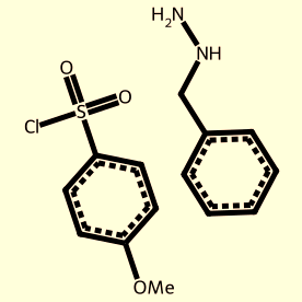 COc1ccc(S(=O)(=O)Cl)cc1.NNCc1ccccc1